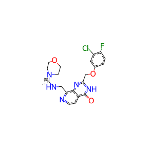 C[C@@H](NCc1nccc2c(=O)[nH]c(COc3ccc(F)c(Cl)c3)nc12)N1CCOCC1